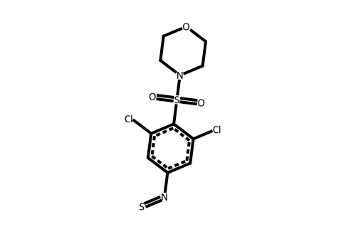 O=S(=O)(c1c(Cl)cc(N=S)cc1Cl)N1CCOCC1